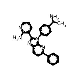 CC(N)c1ccc(-n2c(-c3cccnc3N)nc3ccc(-c4ccccc4)nc32)cc1